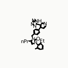 CCCc1cn(-c2c(C)cccc2CC)c(=O)n1Cc1ccc(-c2ccncc2-c2nnn[nH]2)cc1